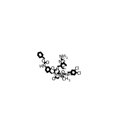 CN(C(=O)NCc1ccc(Cl)c(Cl)c1)N1CC(=O)N2[C@@H](Cc3ccc(NC(=O)OCc4ccccc4)cc3)C(=O)N(Cc3cccc4sc(N)nc34)C[C@@H]21